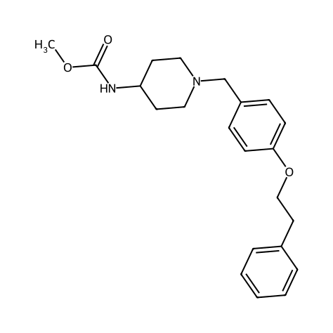 COC(=O)NC1CCN(Cc2ccc(OCCc3ccccc3)cc2)CC1